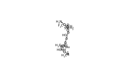 Cc1ncsc1-c1ccc(CNC(O)[C@@H]2C[C@@H](C)CN2C[C@@H](NC(=O)COCCCOCCC(O)CCOc2ccc(N3C(=S)N(c4ccc(C#CN)c(C(F)(F)F)c4)C(=O)C3(C)C)cc2)C(C)(C)C)cc1